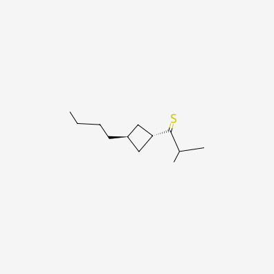 CCCC[C@H]1C[C@H](C(=S)C(C)C)C1